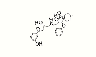 O=[PH](O)C1(C(CCNCC(O)COc2cccc(O)c2)Oc2ccccc2)CC[CH]CC1